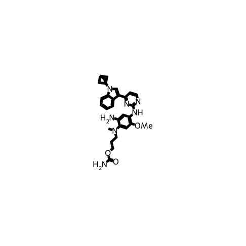 COc1cc(N(C)CCCOC(N)=O)c(N)cc1Nc1nccc(-c2cn(C34CC(C3)C4)c3ccccc23)n1